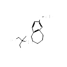 CCCCCCCOc1ccc2c(c1)CCCC[C@@H]2CC(N)(CO)CO